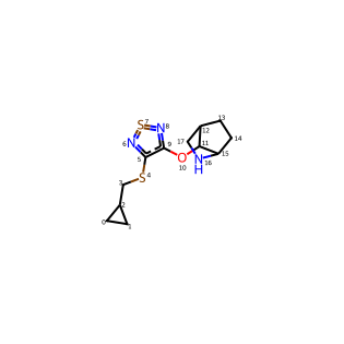 C1CC1CSc1nsnc1OC1C2CCC1NC2